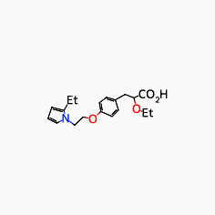 CCOC(Cc1ccc(OCCn2cccc2CC)cc1)C(=O)O